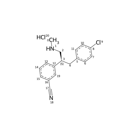 CNC[C@@H](Cc1ccc(Cl)cc1)c1cccc(C#N)c1.Cl